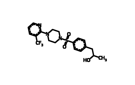 CC(O)Cc1ccc(S(=O)(=O)N2CCN(c3ncccc3C(F)(F)F)CC2)cc1